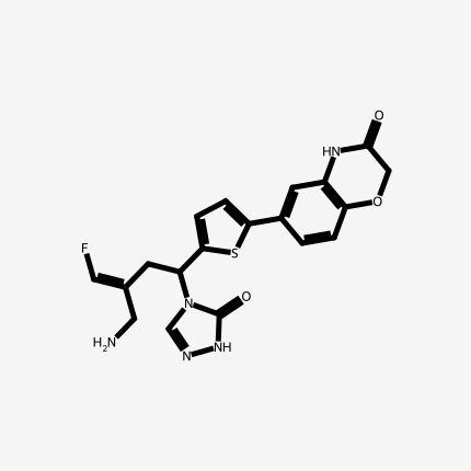 NC/C(=C/F)CC(c1ccc(-c2ccc3c(c2)NC(=O)CO3)s1)n1cn[nH]c1=O